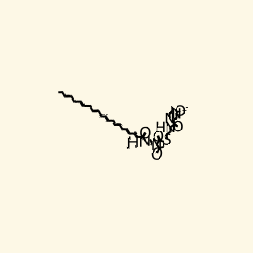 CCC=CCC=CCC=CCC=CCC=CCC=CCCC(=O)NCCN1C(=O)CC(SCCNC(=O)c2c[n+]([O-])c(C)cn2)C1=O